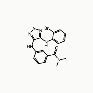 CN(C)C(=O)c1cccc(Nc2nsnc2Nc2ccccc2Br)c1